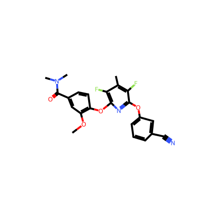 COc1cc(C(=O)N(C)C)ccc1Oc1nc(Oc2cccc(C#N)c2)c(F)c(C)c1F